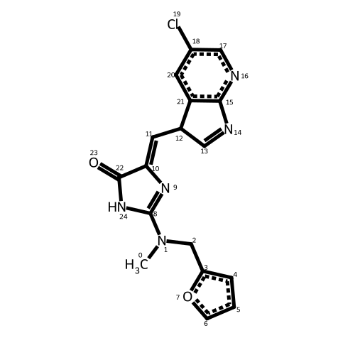 CN(Cc1ccco1)C1=N/C(=C\C2C=Nc3ncc(Cl)cc32)C(=O)N1